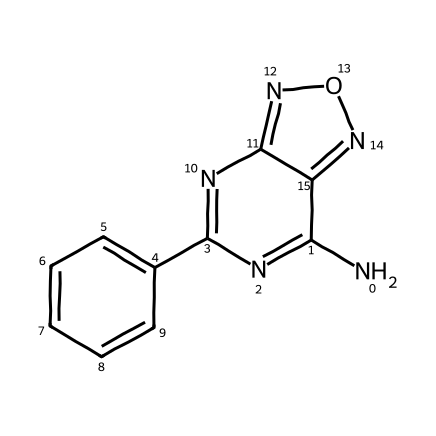 Nc1nc(-c2ccccc2)nc2nonc12